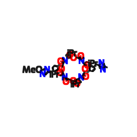 COc1cnc(Cc2ccc(C[C@H]3OC(=O)[C@H](CC(C)C)N(C)C(=O)[C@@H](C)OC(=O)[C@H](CC(C)C)N(C)C(=O)[C@@H](Cc4ccc(Cc5cnc(C)cn5)cc4)OC(=O)[C@H](CC(C)C)N(C)C(=O)[C@@H](C)OC(=O)[C@H](CC(C)C)N(C)C3=O)cc2)cn1